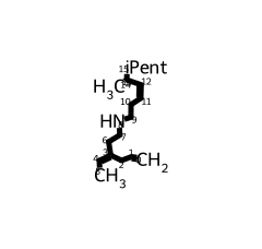 C=CC/C(=C\C)CCNCC/C=C\C(C)C(C)CCC